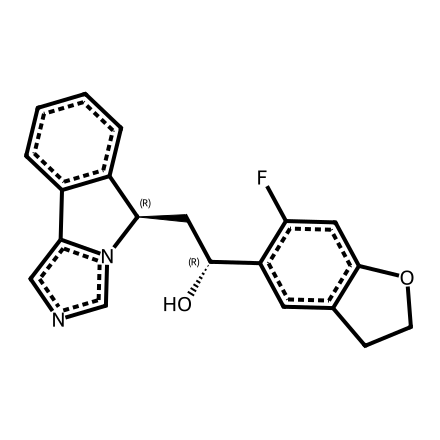 O[C@H](C[C@@H]1c2ccccc2-c2cncn21)c1cc2c(cc1F)OCC2